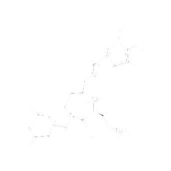 CC1CC(C)CC(CN2CCC(CNC(=O)c3ccc(Cl)c(Cl)c3)N[C@@H](CCN)C2=O)C1